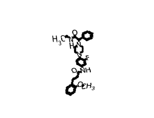 CCNC(=O)C(c1ccccc1)N1CCN(c2ccc(NC(=O)C=Cc3ccccc3OC)cc2F)CC1